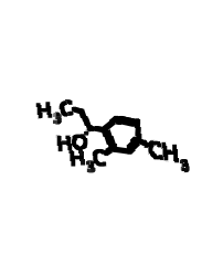 CC[C@@H](O)c1ccc(C)cc1C